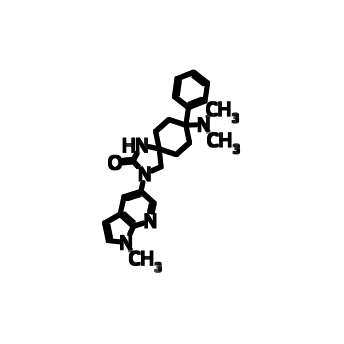 CN(C)C1(c2ccccc2)CCC2(CC1)CN(c1cnc3c(ccn3C)c1)C(=O)N2